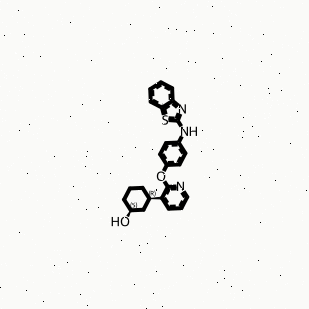 O[C@H]1CCC[C@@H](c2cccnc2Oc2ccc(Nc3nc4ccccc4s3)cc2)C1